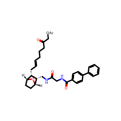 CC(=O)OCC(=O)CCCC=CC[C@@H]1[C@H](CNC(=O)CNC(=O)c2ccc(-c3ccccc3)cc2)[C@@H]2CC[C@H]1O2